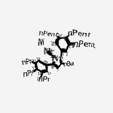 CCCCCc1cc(C2=C(CCCC)C=C(c3cc(CCC)c(CCC)c(CCC)c3)[N+]2=[N-])cc(CCCCC)c1CCCCC.[Ni]